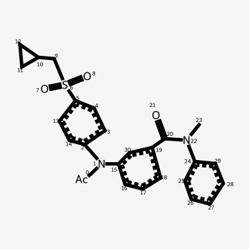 CC(=O)N(c1ccc(S(=O)(=O)CC2CC2)cc1)c1cccc(C(=O)N(C)c2ccccc2)c1